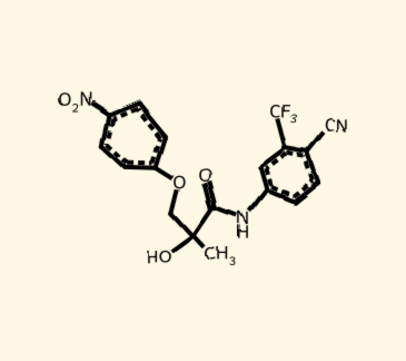 CC(O)(COc1ccc([N+](=O)[O-])cc1)C(=O)Nc1ccc(C#N)c(C(F)(F)F)c1